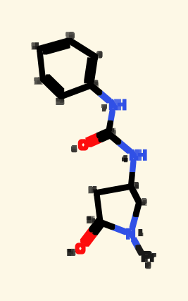 CC(C)N1CC(NC(=O)Nc2ccccc2)CC1=O